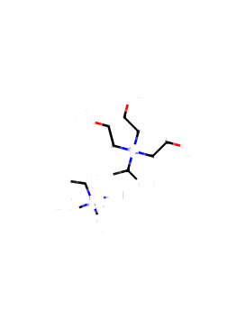 CC([N+](CCO)(CCO)CCO)S(=O)(=O)O.C[N+](C)(C)CC(=O)O